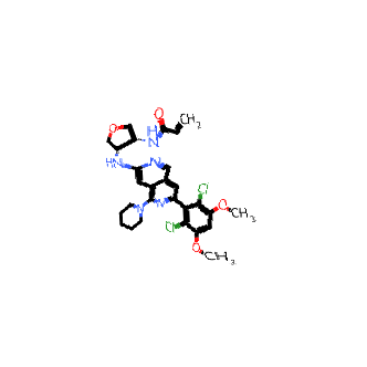 C=CC(=O)N[C@H]1COC[C@H]1Nc1cc2c(N3CCCCC3)nc(-c3c(Cl)c(OC)cc(OC)c3Cl)cc2cn1